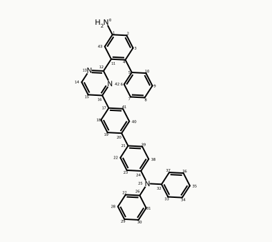 Nc1ccc(-c2ccccc2)c(-c2nccc(-c3ccc(-c4ccc(N(c5ccccc5)c5ccccc5)cc4)cc3)n2)c1